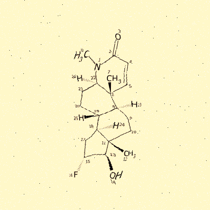 CN1C(=O)C=C[C@]2(C)[C@H]3CC[C@]4(C)[C@@H](O)[C@H](F)C[C@H]4[C@@H]3CC[C@@H]12